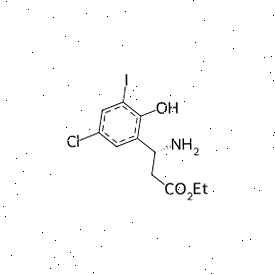 CCOC(=O)C[C@@H](N)c1cc(Cl)cc(I)c1O